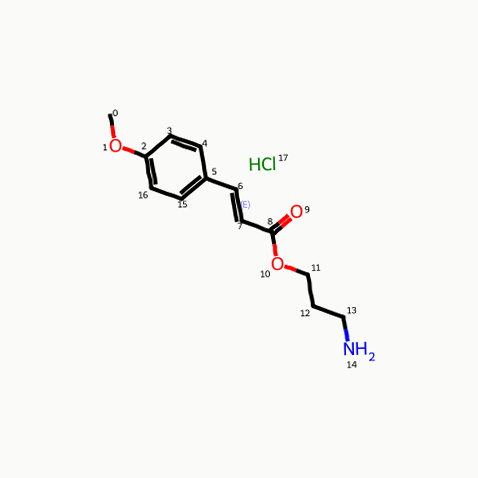 COc1ccc(/C=C/C(=O)OCCCN)cc1.Cl